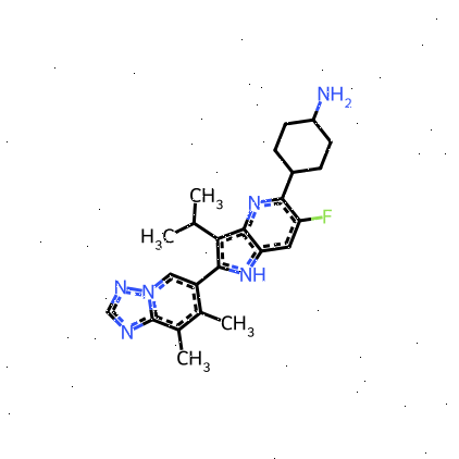 Cc1c(-c2[nH]c3cc(F)c(C4CCC(N)CC4)nc3c2C(C)C)cn2ncnc2c1C